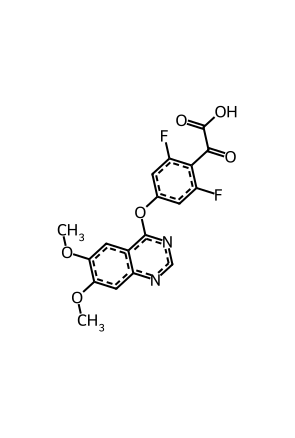 COc1cc2ncnc(Oc3cc(F)c(C(=O)C(=O)O)c(F)c3)c2cc1OC